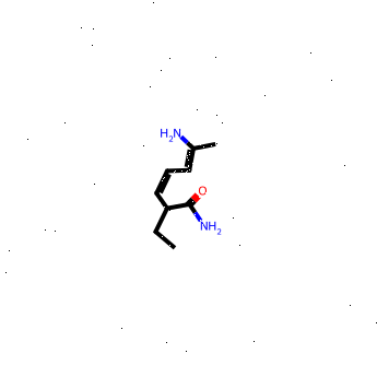 CCC(/C=C\C=C(\C)N)C(N)=O